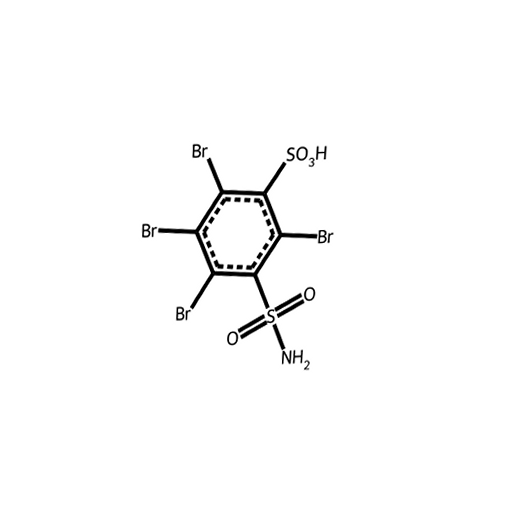 NS(=O)(=O)c1c(Br)c(Br)c(Br)c(S(=O)(=O)O)c1Br